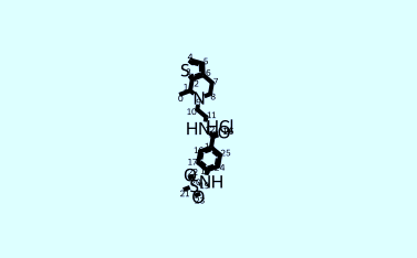 CC1c2sccc2CCN1CCNC(=O)c1ccc(NS(C)(=O)=O)cc1.Cl